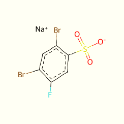 O=S(=O)([O-])c1cc(F)c(Br)cc1Br.[Na+]